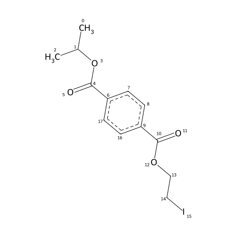 CC(C)OC(=O)c1ccc(C(=O)OCCI)cc1